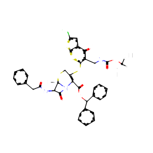 CC(C)(C)OC(=O)NCc1c(SC2=C(C(=O)OC(c3ccccc3)c3ccccc3)N3C(=O)C(NC(=O)Cc4ccccc4)[C@@H]3SC2)sc2sc(Cl)cc2c1=O